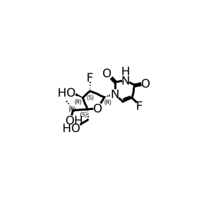 C[C@@H](O)[C@]1(CO)O[C@@H](n2cc(F)c(=O)[nH]c2=O)[C@@H](F)[C@@H]1O